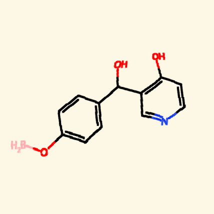 BOc1ccc(C(O)c2cnccc2O)cc1